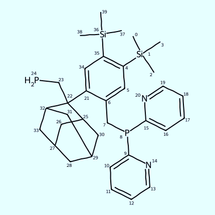 C[Si](C)(C)c1cc(CP(c2ccccn2)c2ccccn2)c(C2(CP)C3CC4CC(C3)CC2C4)cc1[Si](C)(C)C